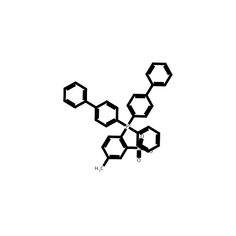 Cc1ccc([P+](c2ccccc2)(c2ccc(-c3ccccc3)cc2)c2ccc(-c3ccccc3)cc2)c(S(=O)(=O)[O-])c1